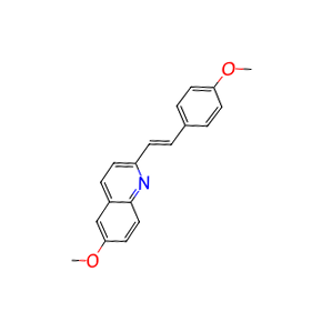 COc1ccc(C=Cc2ccc3cc(OC)ccc3n2)cc1